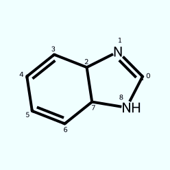 [C]1=NC2C=CC=CC2N1